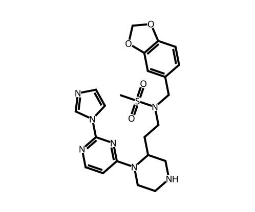 CS(=O)(=O)N(CCC1CNCCN1c1ccnc(-n2ccnc2)n1)Cc1ccc2c(c1)OCO2